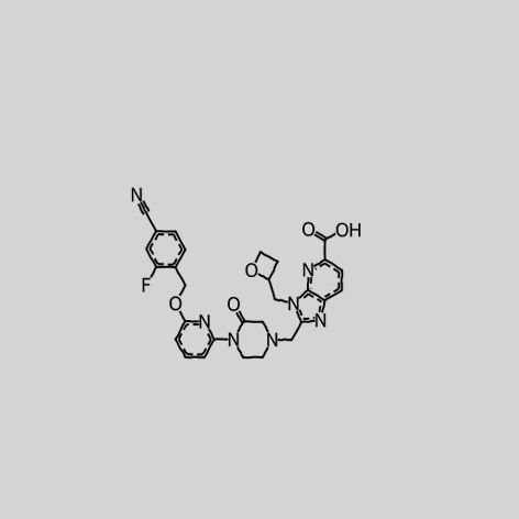 N#Cc1ccc(COc2cccc(N3CCN(Cc4nc5ccc(C(=O)O)nc5n4CC4CCO4)CC3=O)n2)c(F)c1